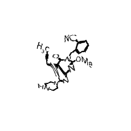 CC#CCn1c(N2CCNCC2)nc2nc(OC)n(Cc3ccccc3C#N)c(=O)c21